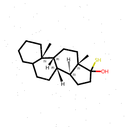 C[C@]12CCCCC1CC[C@@H]1[C@H]2CC[C@@]2(C)[C@H]1CCC2(O)S